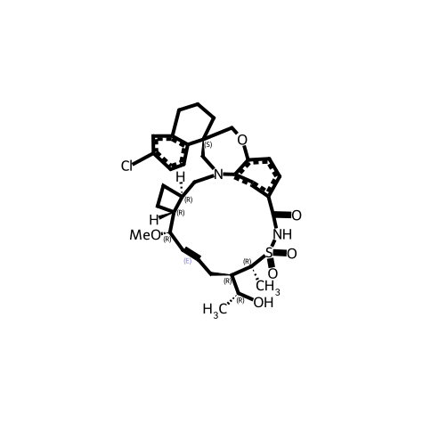 CO[C@H]1/C=C/C[C@H]([C@@H](C)O)[C@@H](C)S(=O)(=O)NC(=O)c2ccc3c(c2)N(C[C@@H]2CC[C@H]21)C[C@@]1(CCCc2cc(Cl)ccc21)CO3